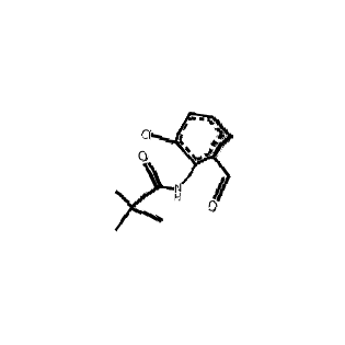 CC(C)(C)C(=O)Nc1c(Cl)cccc1C=O